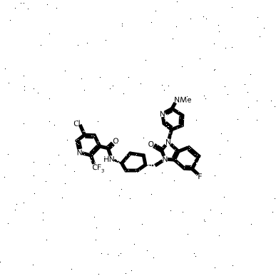 CNc1ccc(-n2c(=O)n(C[C@H]3CC[C@H](NC(=O)c4cc(Cl)cnc4C(F)(F)F)CC3)c3cc(F)ccc32)cn1